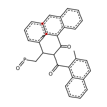 Cc1ccc2ccccc2c1C(=O)C(C(=O)c1c(C)ccc2ccccc12)C(CP=O)c1ccccc1